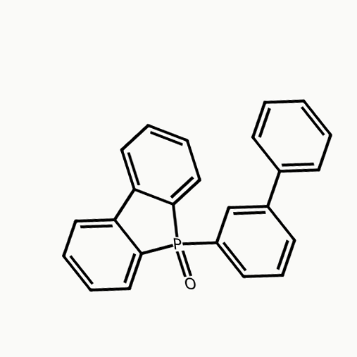 O=P1(c2cccc(-c3ccccc3)c2)c2ccccc2-c2ccccc21